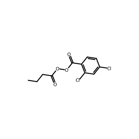 CCCC(=O)OOC(=O)c1ccc(Cl)cc1Cl